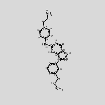 COCc1cccc(-n2nnc3cnc(Nc4ccc(CCN)cc4)nc32)c1